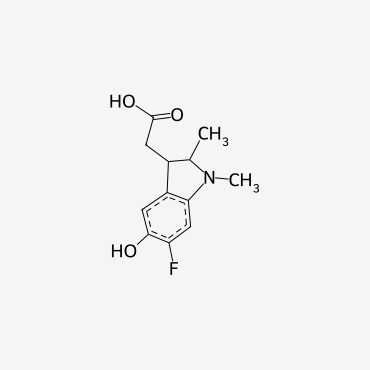 CC1C(CC(=O)O)c2cc(O)c(F)cc2N1C